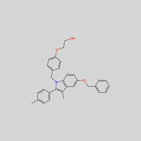 Cc1ccc(-c2c(C)c3cc(OCc4ccccc4)ccc3n2Cc2ccc(OCCO)cc2)cc1